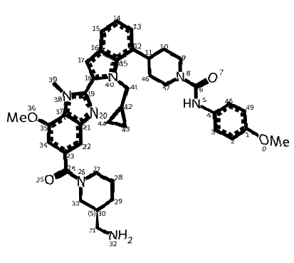 COc1ccc(NC(=O)N2CCC(c3cccc4cc(-c5nc6cc(C(=O)N7CCC[C@@H](CN)C7)cc(OC)c6n5C)n(CC5CC5)c34)CC2)cc1